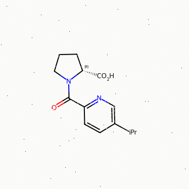 CC(C)c1ccc(C(=O)N2CCC[C@@H]2C(=O)O)nc1